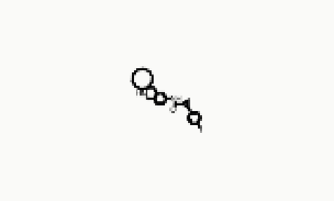 O=C(Nc1ccc2c(c1)CC1(CCCCCCCCC1)NC2)C1CC1c1ccc(I)cc1